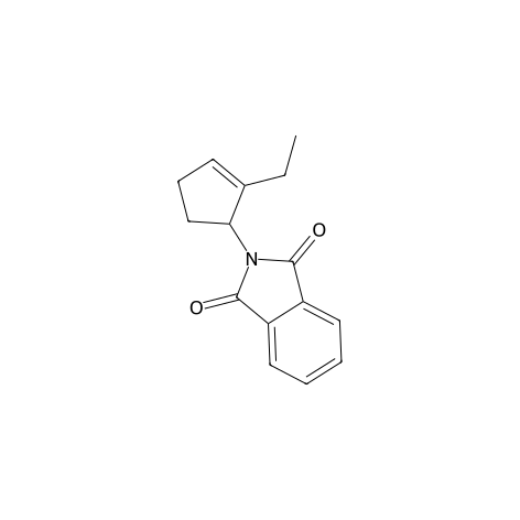 CCC1=CCCC1N1C(=O)c2ccccc2C1=O